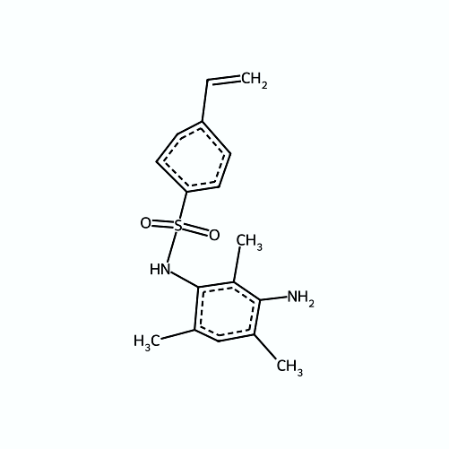 C=Cc1ccc(S(=O)(=O)Nc2c(C)cc(C)c(N)c2C)cc1